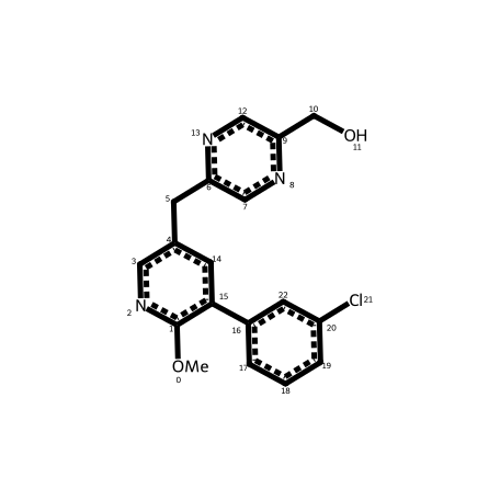 COc1ncc(Cc2cnc(CO)cn2)cc1-c1cccc(Cl)c1